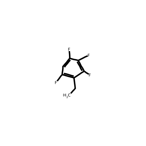 [CH2]Cc1c(F)cc(F)c(F)c1F